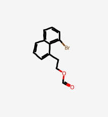 O=COCCc1cccc2cccc(Br)c12